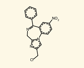 O=[N+]([O-])c1ccc2c(c1)C(c1ccccc1)=NCc1nc(CCl)cn1-2